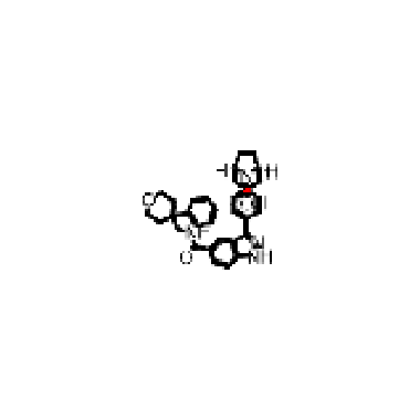 O=C(NCC1(c2ccccc2)CCOCC1)c1ccc2[nH]nc(-c3ccc(N4[C@@H]5CC[C@H]4CC(O)C5)cc3)c2c1